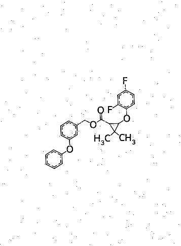 CC1(C)C(Oc2ccc(F)cc2F)C1C(=O)OCc1cccc(Oc2ccccc2)c1